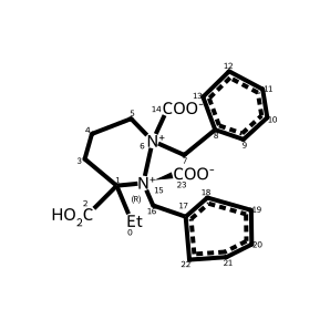 CCC1(C(=O)O)CCC[N+](Cc2ccccc2)(C(=O)[O-])[N@@+]1(Cc1ccccc1)C(=O)[O-]